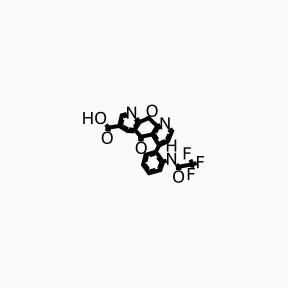 O=C(O)c1cnc2c(c1)C(=O)c1c(-c3ccccc3NC(=O)C(F)(F)F)ccnc1C2=O